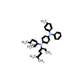 C=C/C(=C\C=C(C)C)N(C(/C=C\C(=C)C)=C/C)c1ccc(N(c2ccccc2)c2ccc(C)cc2)cc1